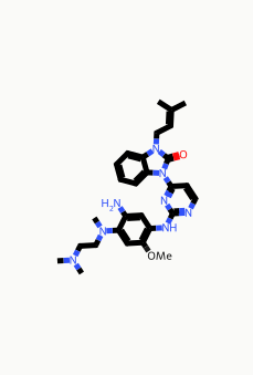 COc1cc(N(C)CCN(C)C)c(N)cc1Nc1nccc(-n2c(=O)n(CC=C(C)C)c3ccccc32)n1